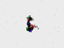 COc1ccc2ncc(CF)c([C@@H](F)CCC3(CO)CCN(CCOc4cc(F)cc(F)c4F)CC3)c2c1